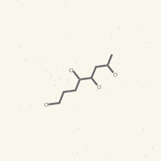 CC(Cl)CC(Cl)C(Cl)CCCCl